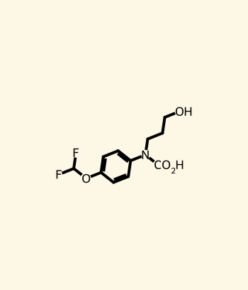 O=C(O)N(CCCO)c1ccc(OC(F)F)cc1